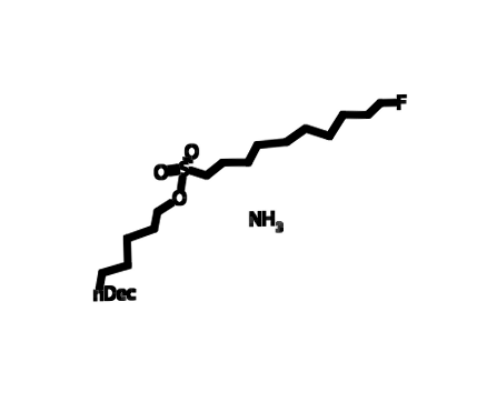 CCCCCCCCCCCCCCCOS(=O)(=O)CCCCCCCCCCF.N